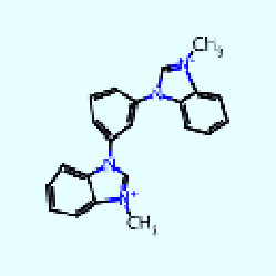 C[n+]1cn(-c2cccc(-n3c[n+](C)c4ccccc43)c2)c2ccccc21